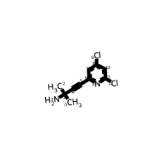 CC(C)(N)C#Cc1cc(Cl)cc(Cl)n1